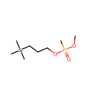 COP(C)(=O)OCCC[Si](C)(C)C